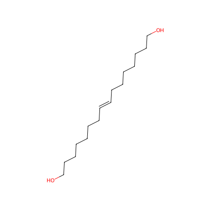 OCCCCCCCC=CCCCCCCCO